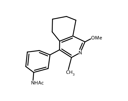 COc1nc(C)c(-c2cccc(NC(C)=O)c2)c2c1CCCC2